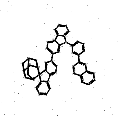 c1cc(-c2ccc3ccccc3c2)cc(-n2c3ccccc3c3ccc(-c4ccc5c(c4)C4(c6ccccc6-5)C5CC6CC(C5)CC4C6)cc32)c1